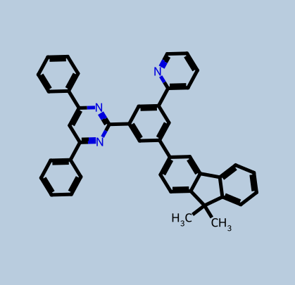 CC1(C)c2ccccc2-c2cc(-c3cc(-c4ccccn4)cc(-c4nc(-c5ccccc5)cc(-c5ccccc5)n4)c3)ccc21